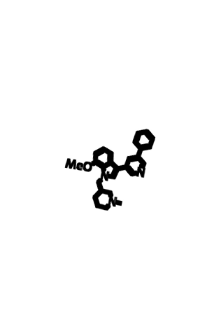 COc1cccc2c(-c3cncc(-c4ccccc4)c3)cn(CC3CCCN(C)C3)c12